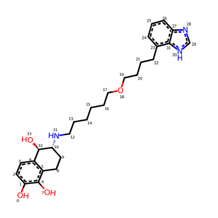 Oc1ccc2c(c1O)CC[C@@H](NCCCCCCOCCCCc1cccc3nc[nH]c13)[C@@H]2O